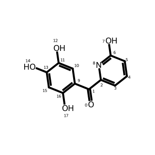 O=C(c1cccc(O)n1)c1cc(O)c(O)cc1O